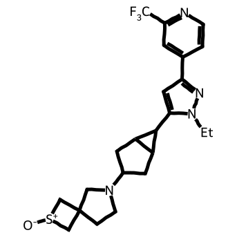 CCn1nc(-c2ccnc(C(F)(F)F)c2)cc1C1C2CC(N3CCC4(C3)C[S+]([O-])C4)CC21